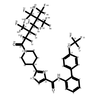 O=C(Nc1ccccc1-c1ccc(OC(F)(F)F)cc1)c1csc(C2CCN(C(=O)C(F)(F)C(F)(C(F)(F)F)C(F)(F)C(C(F)(F)F)(C(F)(F)F)C(F)(F)F)CC2)n1